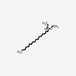 CCCCCCCCCCCCCCCCC[SiH](OCC)OCC